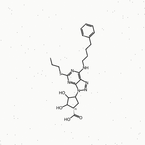 CCCSc1nc(NCCCCc2ccccc2)c2nnn(C3C[C@H](C(=O)O)C(O)C3O)c2n1